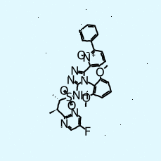 COc1cccc(OC)c1-n1c(NS(=O)(=O)[C@@H](C)[C@H](C)c2ncc(F)cn2)nnc1-c1cccc(-c2ccccc2)[n+]1[O-]